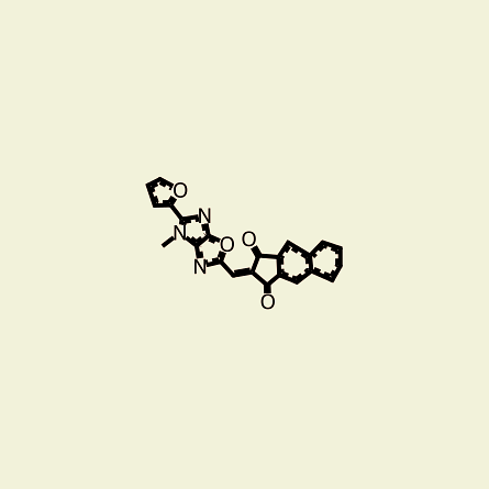 Cn1c(-c2ccco2)nc2oc(C=C3C(=O)c4cc5ccccc5cc4C3=O)nc21